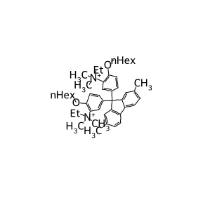 CCCCCCOc1ccc(C2(c3ccc(OCCCCCC)c([N+](C)(C)CC)c3)c3cc(C)ccc3-c3ccc(C)cc32)cc1[N+](C)(C)CC